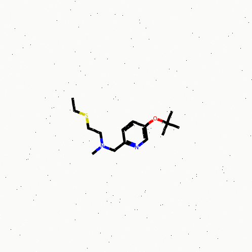 CCSCCN(C)Cc1ccc(OC(C)(C)C)cn1